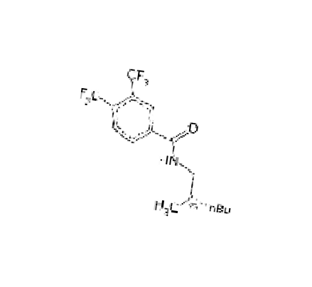 CCCC[C@H](C)CNC(=O)c1ccc(C(F)(F)F)c(C(F)(F)F)c1